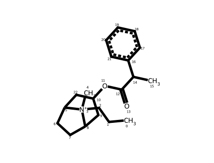 CCC[N+]1(C)C2CCC1CC(OC(=O)C(C)c1ccccc1)C2